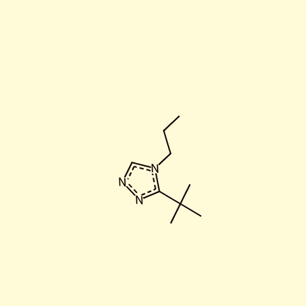 CCCn1cnnc1C(C)(C)C